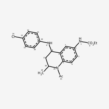 CCOC(=O)Nc1ccc2c(c1)C(Nc1ccc(Cl)cc1)CC(C)N2C(C)=O